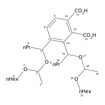 CCCCCCOC(C)OC(CCC)c1ccc(C(=O)O)c(C(=O)O)c1C(CCC)OC(C)OCCCCCC